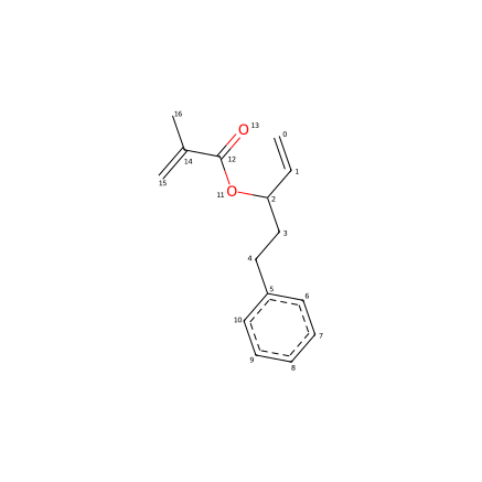 C=CC(CCc1ccccc1)OC(=O)C(=C)C